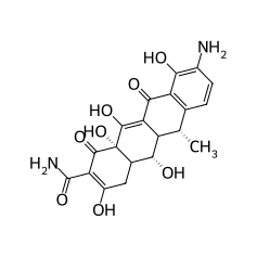 C[C@H]1c2ccc(N)c(O)c2C(=O)C2=C(O)[C@]3(O)C(=O)C(C(N)=O)=C(O)CC3[C@@H](O)C21